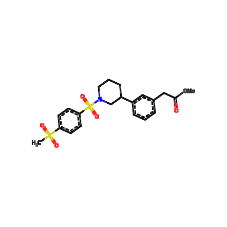 COC(=O)Cc1cccc(C2CCCN(S(=O)(=O)c3ccc(S(C)(=O)=O)cc3)C2)c1